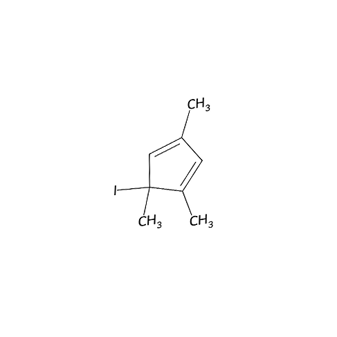 CC1=CC(C)(I)C(C)=C1